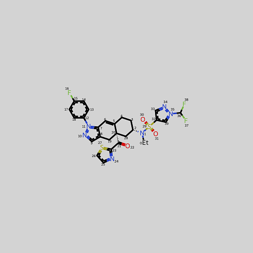 CCN([C@H]1CCC2=Cc3c(cnn3-c3ccc(F)cc3)C[C@]2(C(=O)c2nccs2)C1)S(=O)(=O)c1cnn(C(F)F)c1